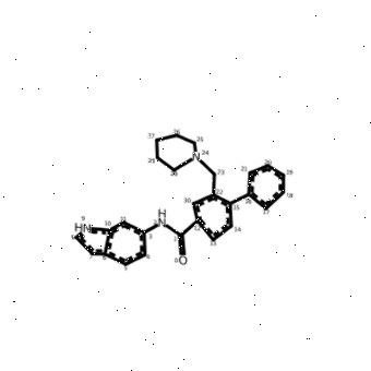 O=C(Nc1ccc2cc[nH]c2c1)c1ccc(-c2ccccc2)c(CN2CCCCC2)c1